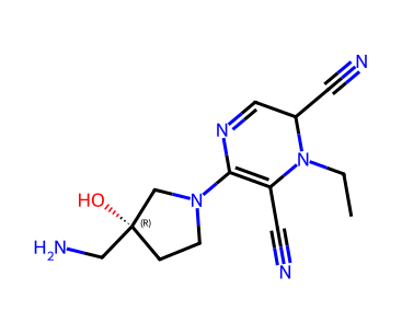 CCN1C(C#N)=C(N2CC[C@@](O)(CN)C2)N=CC1C#N